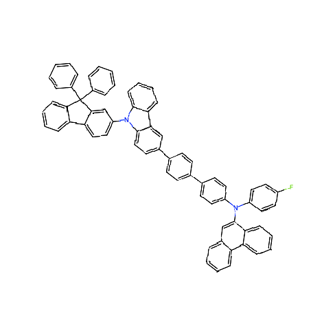 Fc1ccc(N(c2ccc(-c3ccc(-c4ccc5c(c4)c4ccccc4n5-c4ccc5c(c4)C(c4ccccc4)(c4ccccc4)c4ccccc4-5)cc3)cc2)c2cc3ccccc3c3ccccc23)cc1